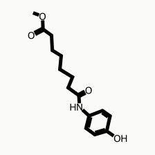 COC(=O)CCCCCCC(=O)Nc1ccc(O)cc1